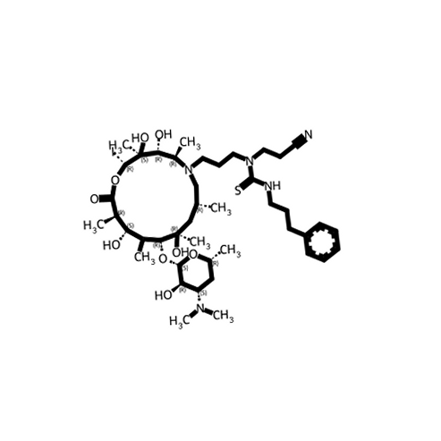 CC1[C@@H](O[C@@H]2O[C@H](C)C[C@H](N(C)C)[C@H]2O)[C@](C)(O)C[C@@H](C)CN(CCCN(CCC#N)C(=S)NCCCc2ccccc2)[C@H](C)[C@@H](O)[C@](C)(O)[C@@H](I)OC(=O)[C@H](C)[C@H]1O